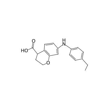 CCc1ccc(Nc2ccc3c(c2)OCCC3C(=O)O)cc1